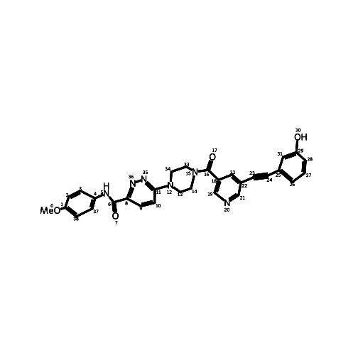 COc1ccc(NC(=O)c2ccc(N3CCN(C(=O)c4cncc(C#Cc5cccc(O)c5)c4)CC3)nn2)cc1